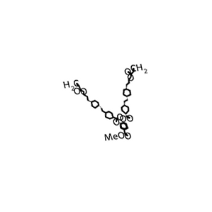 C=CC(=O)OCCC[C@H]1CC[C@H](CCC2CCC(C(=O)Oc3cc(C(=O)OC)ccc3OC(=O)[C@H]3CC[C@H](CC[C@H]4CC[C@H](CCCOC(=O)C=C)CC4)CC3)CC2)CC1